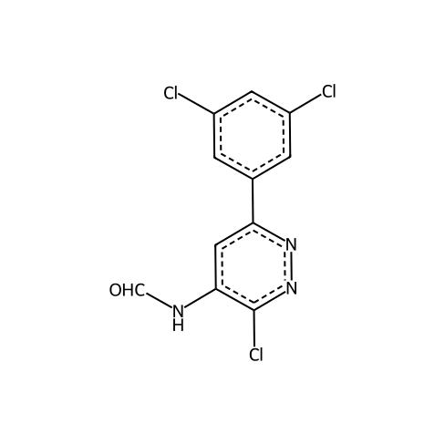 O=CNc1cc(-c2cc(Cl)cc(Cl)c2)nnc1Cl